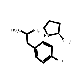 NC(Cc1ccc(O)cc1)C(=O)O.O=C(O)[C@@H]1CCCN1